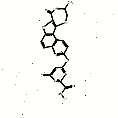 CCNC(=O)c1nc(Cl)cc(Oc2ccc3c(ccc4oc5c(c43)NCC(C)NC5=O)n2)n1